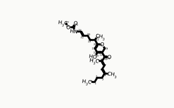 CCCC/C(C)=C/C=C(\C)C(=O)C1=C(O)C=C(C(C)CC/C=C/NC(=O)OC)OC1